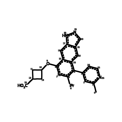 Cc1cc(-c2c(C(C)C)nc(OC3CC(C(=O)O)C3)c3cc4[nH]ncc4cc23)ccn1